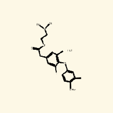 CCN(CC)CCOC(=O)Cc1cc(I)c(Oc2ccc(OC)c(I)c2)c(I)c1.Cl